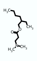 CCCCC(CC)COC(=O)CCN(C)C